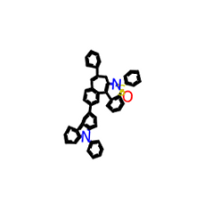 O=S1(c2ccccc2)=NC2=C(c3cc(-c4ccc5c(c4)c4ccccc4n5-c4ccccc4)ccc3C=C(c3ccccc3)C2)c2ccccc21